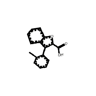 Cc1ccccc1-c1c(C(=O)O)oc2ccccc12